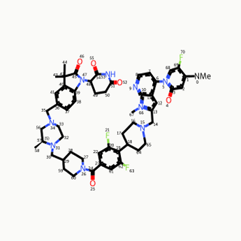 CNc1cc(=O)n(-c2ccnc3c2cc(CN2CCC(c4c(F)cc(C(=O)N5CCC(CN6CCN(Cc7ccc8c(c7)C(C)(C)C(=O)N8C7CCC(=O)NC7=O)C[C@@H]6C)CC5)cc4F)CC2)n3C)cc1F